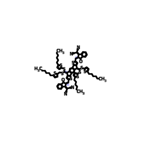 CCCCCCc1ccc(CS/C(Sc2ccc(CCCCCC)s2)=C2/c3cc4c(cc3-c3sc(/C=C5\C(=O)c6ccccc6C5=C(C#N)C#N)cc32)C(=C(Sc2ccc(CCCCCC)s2)Sc2ccc(CCCCCC)s2)c2cc(/C=C3\C(=O)c5ccccc5C3=C(C#N)C#N)sc2-4)s1